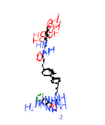 N=C(NCCCCc1ccc(-c2ccc(CCC(=O)NCCNC[C@H](O)[C@@H](O)[C@H](O)[C@H](O)CO)cc2)cc1)NC(=O)c1nc(Cl)c(N)nc1N